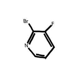 Fc1c[c]cnc1Br